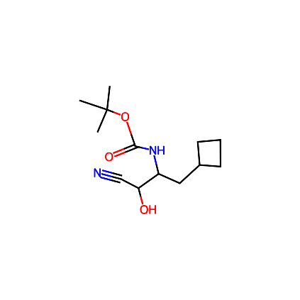 CC(C)(C)OC(=O)NC(CC1CCC1)C(O)C#N